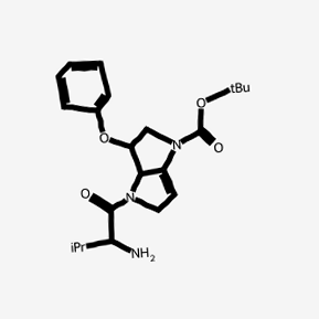 CC(C)C(N)C(=O)N1CC=C2C1C(Oc1ccccc1)CN2C(=O)OC(C)(C)C